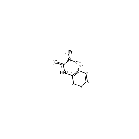 C=C(NC1=CC=CCC1)N(C)C(C)C